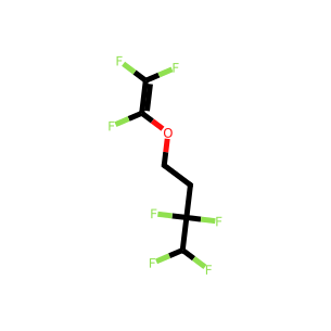 F[C](F)C(F)(F)CCOC(F)=C(F)F